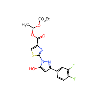 CCOC(=O)OC(C)OC(=O)c1csc(-n2nc(-c3ccc(F)c(F)c3)cc2O)n1